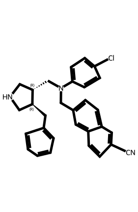 N#Cc1ccc2cc(CN(C[C@H]3CNC[C@@H]3Cc3ccccc3)c3ccc(Cl)cc3)ccc2c1